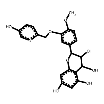 COc1ccc(C2Oc3cc(O)cc(O)c3C(O)C2O)cc1OCc1ccc(O)cn1